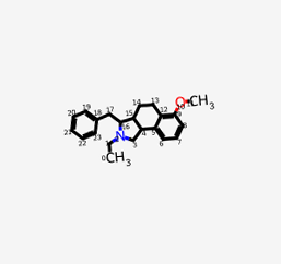 CCN1CC2c3cccc(OC)c3CCC2C1Cc1ccccc1